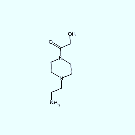 NCCN1CCN(C(=O)CO)CC1